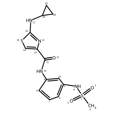 CS(=O)(=O)Nc1cccc(NC(=O)c2csc(NC3CC3)n2)c1